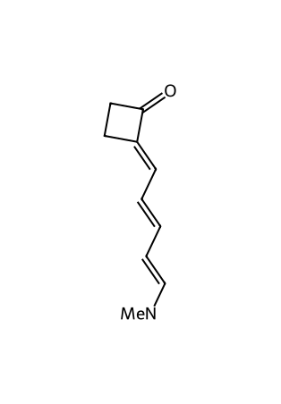 CNC=CC=CC=C1CCC1=O